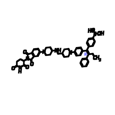 CC/C(=C(\c1ccc(B(O)O)cc1)c1ccc(N2CCC(CNC3CCN(c4ccc5c(c4)C(=O)N(C4CCC(=O)NC4=O)C5=O)CC3)CC2)cc1)c1ccccc1